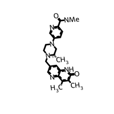 CNC(=O)c1ccc(N2CCN(Cc3cnc4c(C)c(C)c(=O)[nH]c4c3)[C@@H](C)C2)cn1